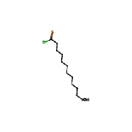 CCCCCCCCCCCCCCCCCCC(=S)Cl